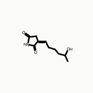 CC(O)CCC/C=C1/CC(=O)NC1=O